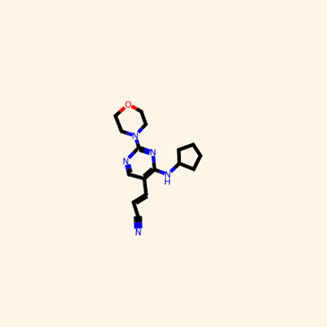 N#CC=Cc1cnc(N2CCOCC2)nc1NC1CCCC1